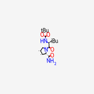 CCC(C)[C@H](NC(=O)OC(C)(C)C)C(=O)N1C[CH][CH][C@H]1C(N)=O